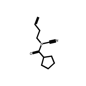 C=CCCN(C#N)C(=O)C1CCCC1